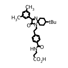 Cc1cc(C)cc(C2=NC3(CCC(C(C)(C)C)CC3)N(CCc3ccc(C(=O)NCCC(=O)O)cc3)C2=O)c1